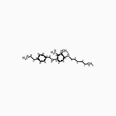 CCCCCCOc1ccc(OCc2ccc(CCC)cc2)c(C)c1C